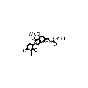 CCCCOC(=O)NCc1cc2c(c(OC)c1)C(=O)N(C1CCC(=O)NC1=O)C2